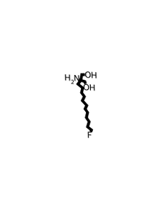 NC(CO)(CO)CCCCCCCCCCCCF